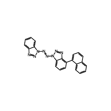 c1ccc2c(-c3cccc4c3nnn4N=Nn3nnc4ccccc43)cccc2c1